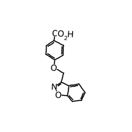 O=C(O)c1ccc(OCc2noc3ccccc23)cc1